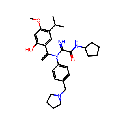 C=C(c1cc(C(C)C)c(OC)cc1O)N(C(=N)C(=O)NC1CCCC1)c1ccc(CN2CCCC2)cc1